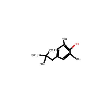 CCCCC(Cc1cc(C(C)(C)C)c(O)c(C(C)(C)C)c1)(C(=O)OCC)C(=O)OCC